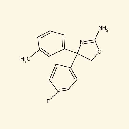 Cc1cccc(C2(c3ccc(F)cc3)COC(N)=N2)c1